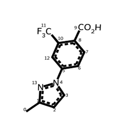 Cc1ccn(-c2ccc(C(=O)O)c(C(F)(F)F)c2)n1